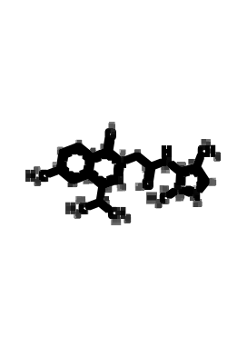 Cc1ccc2c(=O)n(CC(=O)Nc3c(C)cnn3C)nc(C(C)C)c2c1